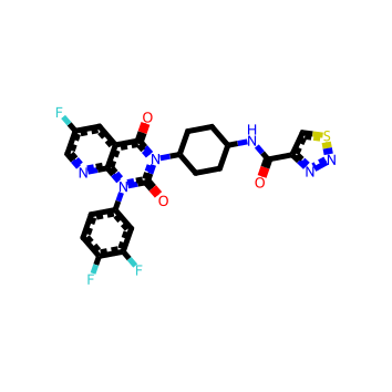 O=C(NC1CCC(n2c(=O)c3cc(F)cnc3n(-c3ccc(F)c(F)c3)c2=O)CC1)c1csnn1